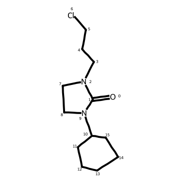 O=C1N(CCCCl)CCN1C1CCCCC1